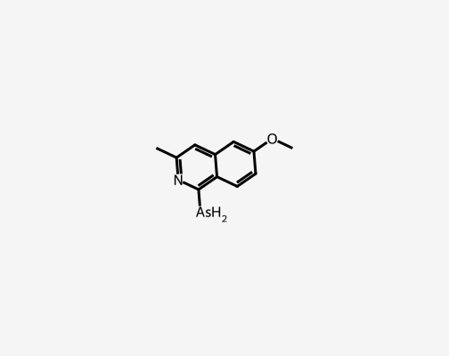 COc1ccc2c([AsH2])nc(C)cc2c1